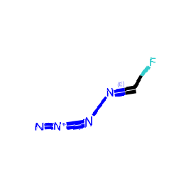 [N-]=[N+]=N/N=C/F